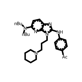 CCCCN(CCCC)c1ccc2nc(Nc3ccc(C(C)=O)cc3)n(CCCN3CCCCC3)c2n1